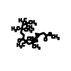 COC(=O)CC1C[C@H]1CC(C)(C)CC(C)(C)C(=O)CCC(C)(C)CC(C)(C)C